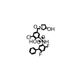 O=C(c1cc(Cl)c(O)c(S(=O)(=O)Nc2cc(-c3ccccc3)c(F)cc2F)c1)N1CC[C@H](O)C1